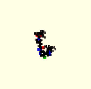 CC1(C)Cc2c(-c3cc(NC(=O)CCC4CCN(C(=O)OC(C)(C)C)C4)ncc3Cl)cnn2C1